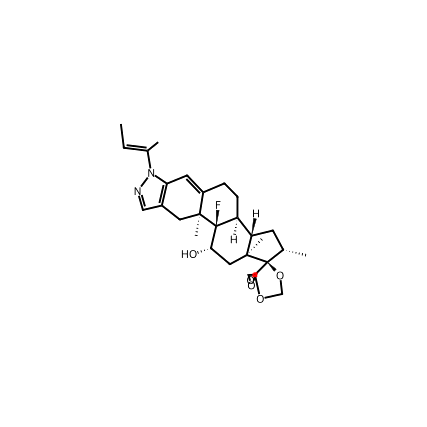 C/C=C(\C)n1ncc2c1C=C1CC[C@H]3[C@@H]4C[C@H](C)[C@@]5(OCOC56COCO6)[C@@]4(C)C[C@H](O)[C@]3(F)[C@@]1(C)C2